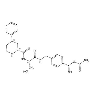 C[C@H](NC(=O)[C@H]1C[C@@H](c2ccccc2)CCN1)C(=O)NCc1ccc(C(=N)OC(N)=O)cc1.Cl